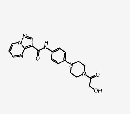 O=C(Nc1ccc(N2CCN(C(=O)CO)CC2)cc1)c1cnn2cccnc12